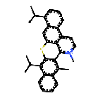 Cc1c2c(c(C(C)C)c3ccccc13)Sc1cc3c(C(C)C)cccc3c3cc[n+](C)c-2c13